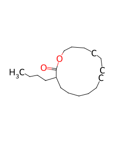 CCCCC1CCCCCCCCCCCCOC1=O